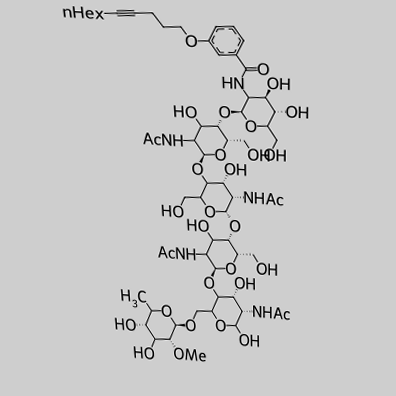 CCCCCCC#CCCCOc1cccc(C(=O)NC2[C@H](O[C@H]3C(O)C(NC(C)=O)[C@H](OC4C(CO)O[C@@H](O[C@H]5C(O)C(NC(C)=O)[C@H](OC6C(CO[C@@H]7OC(C)[C@@H](O)C(O)[C@H]7OC)OC(O)[C@@H](NC(C)=O)[C@H]6O)O[C@H]5CO)[C@@H](NC(C)=O)[C@H]4O)O[C@H]3CO)OC(CO)[C@@H](O)[C@@H]2O)c1